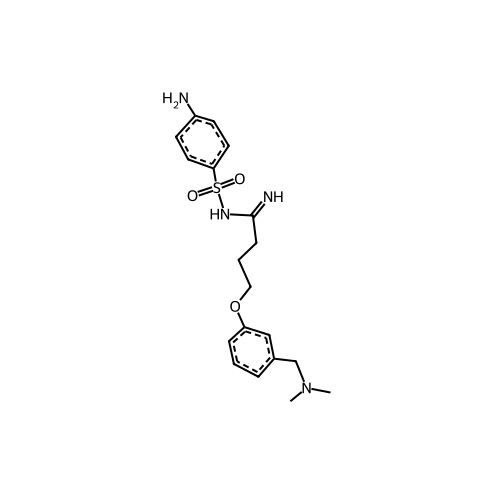 CN(C)Cc1cccc(OCCCC(=N)NS(=O)(=O)c2ccc(N)cc2)c1